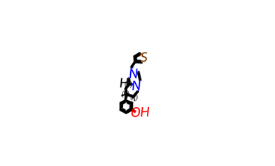 C[C@H]1CN2CCN(Cc3ccsc3)C[C@H]2C[C@@]1(C)c1cccc(O)c1